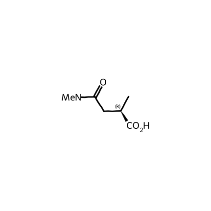 CNC(=O)C[C@@H](C)C(=O)O